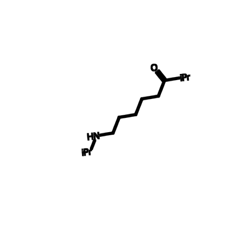 CC(C)NCCCCCC(=O)C(C)C